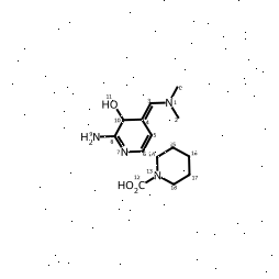 CN(C)C=C1C=CN=C(N)C1O.O=C(O)N1CCCCC1